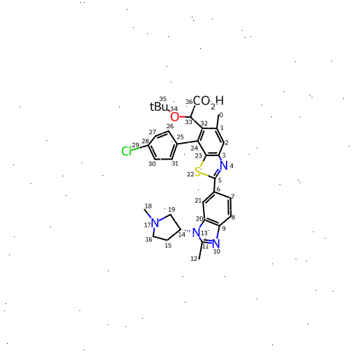 Cc1cc2nc(-c3ccc4nc(C)n([C@@H]5CCN(C)C5)c4c3)sc2c(-c2ccc(Cl)cc2)c1C(OC(C)(C)C)C(=O)O